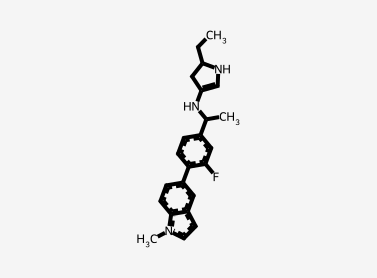 CCC1CC(NC(C)c2ccc(-c3ccc4c(ccn4C)c3)c(F)c2)=CN1